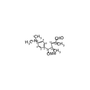 COC(c1ccc(N(C)C)cc1)C(C)/C=C(\C)C=O